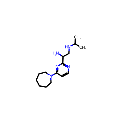 CC(C)NCC(N)c1nccc(N2CCCCCC2)n1